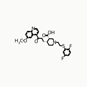 COc1ccc2nccc(C(=O)CC[C@H]3CCN(CCSc4cc(F)ccc4F)C[C@H]3C(=O)O)c2c1